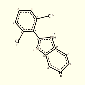 Clc1cccc(Cl)c1-c1nc2cnccc2[nH]1